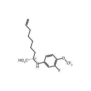 C=CCCCCC[C@H](Nc1ccc(OC(F)(F)F)c(F)c1)C(=O)O